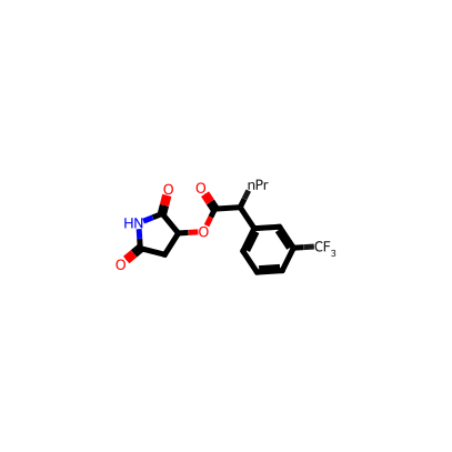 CCCC(C(=O)OC1CC(=O)NC1=O)c1cccc(C(F)(F)F)c1